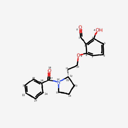 O=Cc1c(O)cccc1OCC[C@@H]1CCCN1C(=O)c1ccccc1